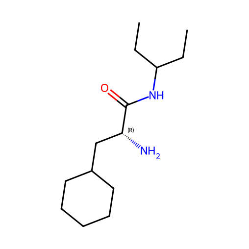 CCC(CC)NC(=O)[C@H](N)CC1CCCCC1